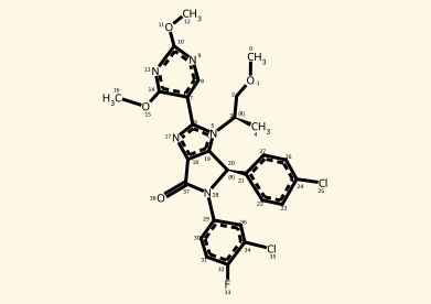 COC[C@@H](C)n1c(-c2cnc(OC)nc2OC)nc2c1[C@@H](c1ccc(Cl)cc1)N(c1ccc(F)c(Cl)c1)C2=O